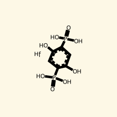 O=P(O)(O)c1cc(O)c(P(=O)(O)O)cc1O.[Hf]